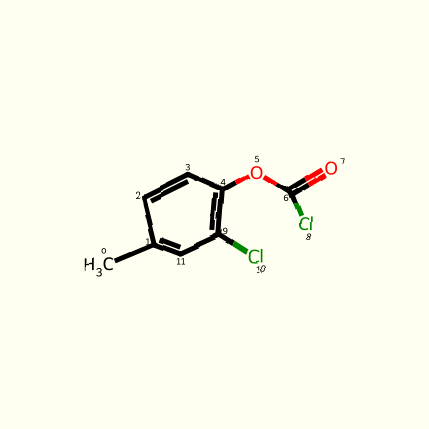 Cc1ccc(OC(=O)Cl)c(Cl)c1